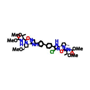 COC[C@H]1C[C@@H](c2ncc(-c3ccc(-c4ccc(-c5[nH]c([C@@H]6CC[C@H](C)N6C(=O)[C@@H](NC(=O)OC)[C@@H](C)OC)nc5Cl)cc4)cc3)[nH]2)N(C(=O)[C@@H](NC(=O)OC)[C@@H](C)OC)C1